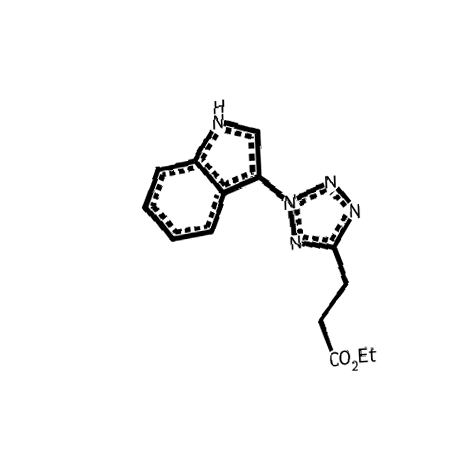 CCOC(=O)CCc1nnn(-c2c[nH]c3ccccc23)n1